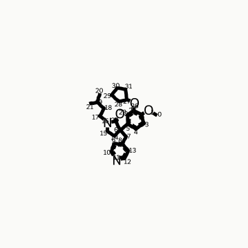 COc1ccc(C2(Cc3ccncc3)CCN(CCC(C)C)C2=O)cc1OC1CCCC1